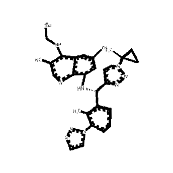 Cc1c([C@H](Nc2cc(C#N)cc3c(NCC(C)(C)C)c(C#N)cnc23)c2cn(C3(C(F)(F)F)CC3)nn2)cccc1-n1ccnn1